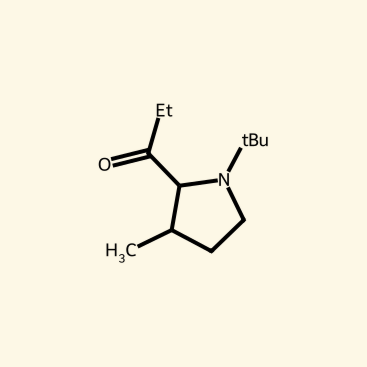 CCC(=O)C1C(C)CCN1C(C)(C)C